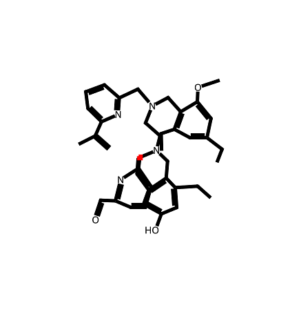 C=C(C)c1cccc(CN(CCN(Cc2cccc(C=O)n2)Cc2c(CC)cc(O)cc2CC)Cc2c(CC)cc(CC)cc2OC)n1